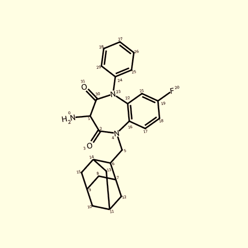 NC1C(=O)N(CC2C3CC4CC(C3)CC2C4)c2ccc(F)cc2N(c2ccccc2)C1=O